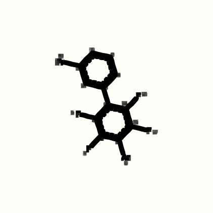 CC(=O)c1c(F)c(F)c(-c2cccc(C(C)C)c2)c(F)c1F